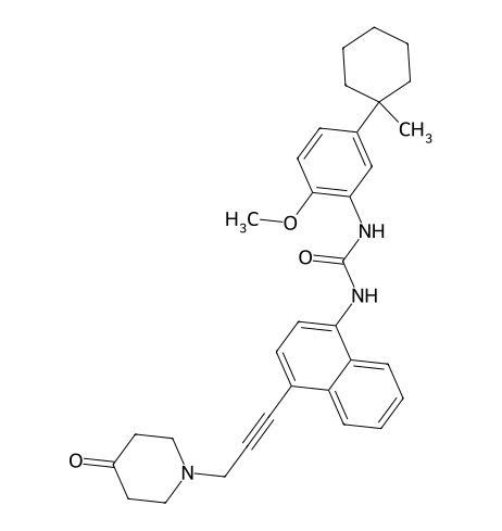 COc1ccc(C2(C)CCCCC2)cc1NC(=O)Nc1ccc(C#CCN2CCC(=O)CC2)c2ccccc12